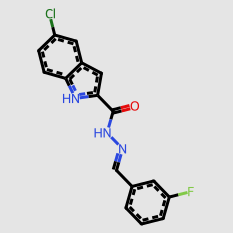 O=C(NN=Cc1cccc(F)c1)c1cc2cc(Cl)ccc2[nH]1